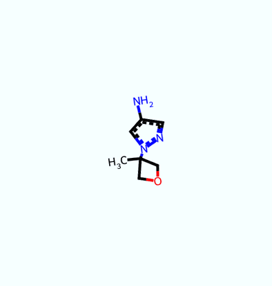 CC1(n2cc(N)cn2)COC1